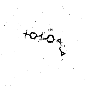 Cl.O=C(Nc1ccc([C@@H]2C[C@H]2NCC2CC2)cc1)c1ccc(C(F)(F)F)cc1